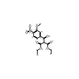 CCOC(=O)C(C(=O)OCC)C(=O)c1ccc([N+](=O)[O-])c(OC)c1